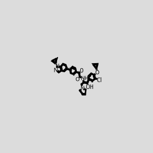 O=C(NC(CN1CCCC1)C(O)c1ccc(OC2CC2)c(Cl)c1)C(=O)c1ccc(-c2ccc3c(cnn3C3CC3)c2)cc1